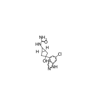 NC(=O)NC1[C@H]2CC(O)(c3cc(Cl)cc4[nH]ncc34)C[C@@H]12